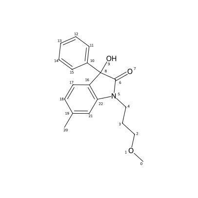 COCCCN1C(=O)C(O)(c2ccccc2)c2ccc(C)cc21